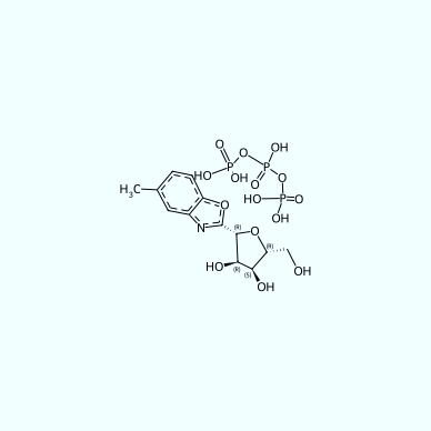 Cc1ccc2oc([C@@H]3O[C@H](CO)[C@@H](O)[C@H]3O)nc2c1.O=P(O)(O)OP(=O)(O)OP(=O)(O)O